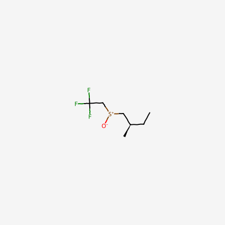 CC[C@@H](C)C[S+]([O-])CC(F)(F)F